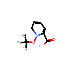 [2H]C([2H])([2H])ON1CC=CC=C1C(=O)O